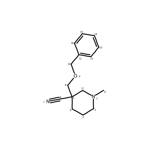 CN1CCCC(C#N)(COCc2ccccc2)C1